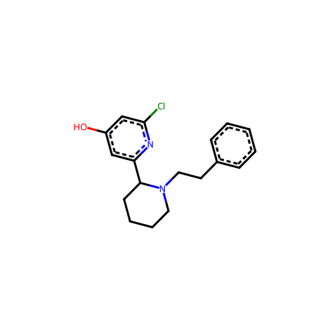 Oc1cc(Cl)nc(C2CCCCN2CCc2ccccc2)c1